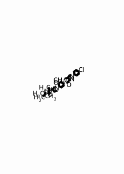 COc1cc(N2Cc3cn(-c4ccc(Cl)cc4)nc3C2=O)ccc1N1CC[C@H](N(C)C(=O)OC(C)(C)C)C1